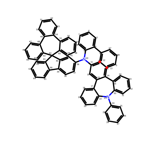 c1ccc(-c2ccccc2N(c2ccc3c(c2)-c2ccccc2N(c2ccccc2)c2ccccc2-3)c2ccc3c(c2)C2(c4ccccc4-c4ccccc4-c4ccccc42)c2ccccc2-3)cc1